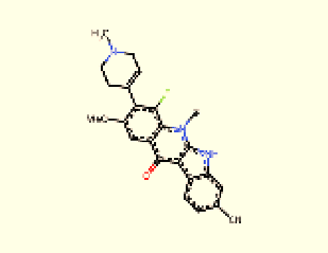 COc1cc2c(=O)c3c4ccc(C#N)cc4[nH]c3n(C(C)C)c2c(F)c1C1=CCN(C)CC1